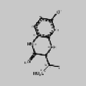 C[C@H](C(=O)O)C1Nc2nc(Cl)ccc2NC1=O